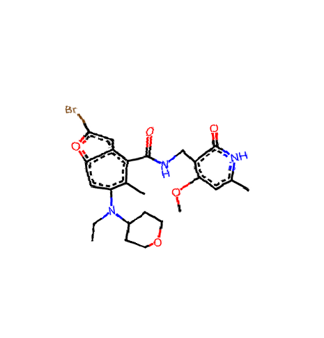 CCN(c1cc2oc(Br)cc2c(C(=O)NCc2c(OC)cc(C)[nH]c2=O)c1C)C1CCOCC1